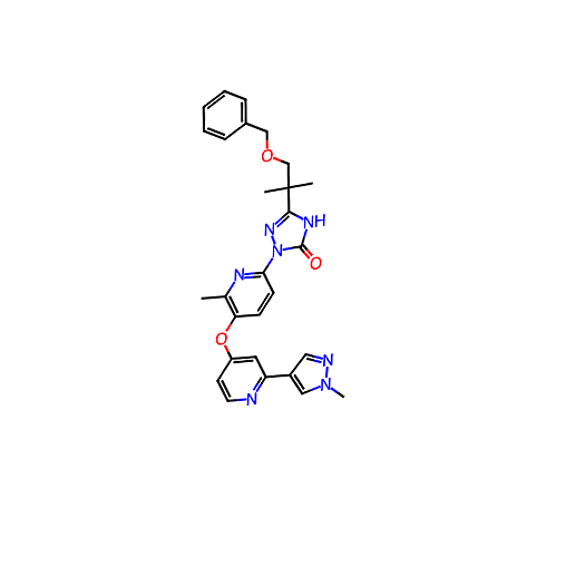 Cc1nc(-n2nc(C(C)(C)COCc3ccccc3)[nH]c2=O)ccc1Oc1ccnc(-c2cnn(C)c2)c1